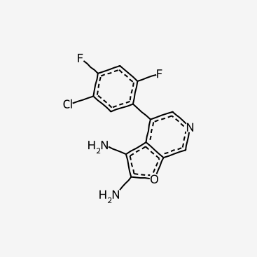 Nc1oc2cncc(-c3cc(Cl)c(F)cc3F)c2c1N